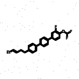 CCC=CCCc1ccc(-c2ccc(-c3ccc(OC(F)F)c(F)c3)cc2)cc1